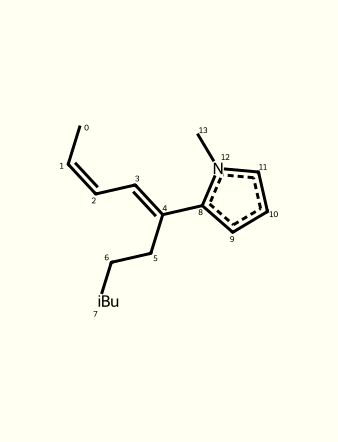 C/C=C\C=C(/CCC(C)CC)c1cccn1C